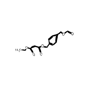 CCOC(=O)CC(=O)OCc1ccc(COC=O)cc1